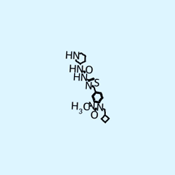 Cn1c(=O)n(CC2CCC2)c2ccc(-c3nc(NC(=O)N[C@H]4CCCNC4)cs3)cc21